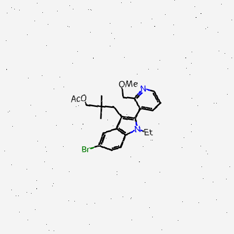 CCn1c(-c2cccnc2COC)c(CC(C)(C)COC(C)=O)c2cc(Br)ccc21